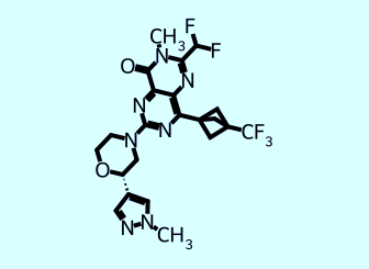 Cn1cc([C@H]2CN(c3nc(C45CC(C(F)(F)F)(C4)C5)c4nc(C(F)F)n(C)c(=O)c4n3)CCO2)cn1